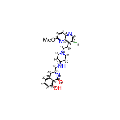 COc1ccc2ncc(F)c(CCN3CCC(NCC4=NC(=O)c5c(O)cccc5C4)CC3)c2n1